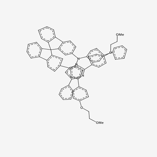 COCCOc1ccc(-c2nc(-c3ccc(OCCOC)cc3)nc(-c3ccc4c(c3)C3(c5ccccc5-4)c4ccccc4-c4ccc(N(c5ccc(-c6ccccc6)cc5)c5ccc(-c6ccccc6)cc5)cc43)n2)cc1